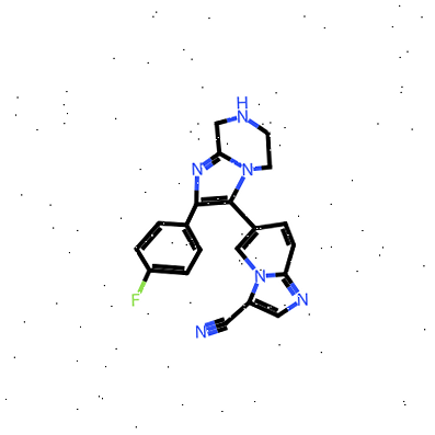 N#Cc1cnc2ccc(-c3c(-c4ccc(F)cc4)nc4n3CCNC4)cn12